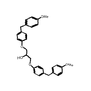 COc1ccc(Cc2ccc(OCC(O)COc3ccc(Cc4ccc(OC)cc4)cc3)cc2)cc1